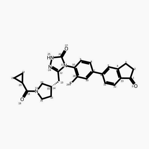 O=C1CCc2cc(-c3ccc(-n4c(C[C@@H]5CCN(C(=O)C6CC6)C5)n[nH]c4=O)c(F)c3)ccc21